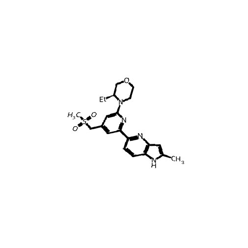 CC[C@H]1COCCN1c1cc(CS(C)(=O)=O)cc(-c2ccc3[nH]c(C)cc3n2)n1